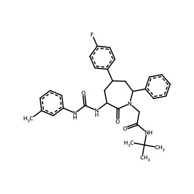 Cc1cccc(NC(=O)NC2CC(c3ccc(F)cc3)CC(c3ccccc3)N(CC(=O)NC(C)(C)C)C2=O)c1